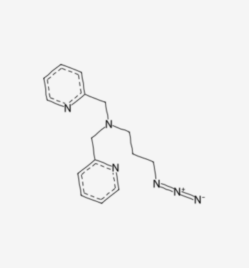 [N-]=[N+]=NCCCN(Cc1ccccn1)Cc1ccccn1